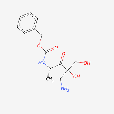 C[C@H](NC(=O)OCc1ccccc1)C(=O)C(O)(CN)CO